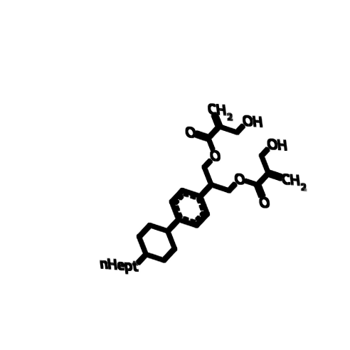 C=C(CO)C(=O)OCC(COC(=O)C(=C)CO)c1ccc(C2CCC(CCCCCCC)CC2)cc1